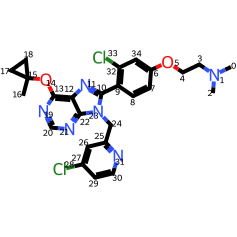 CN(C)CCOc1ccc(-c2nc3c(OC4(C)CC4)ncnc3n2Cc2cc(Cl)ccn2)c(Cl)c1